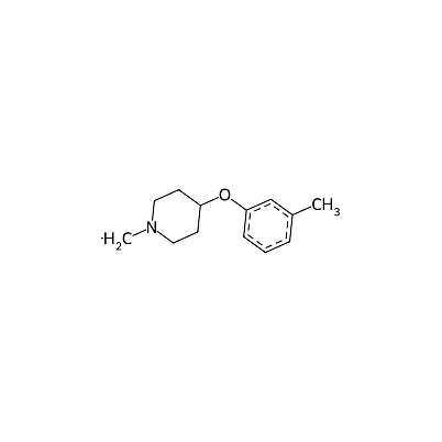 [CH2]N1CCC(Oc2cccc(C)c2)CC1